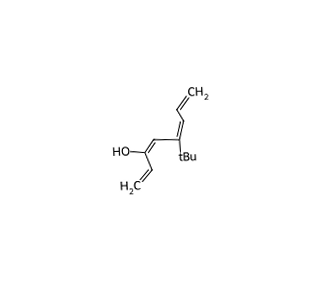 C=C/C=C(\C=C(\O)C=C)C(C)(C)C